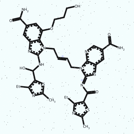 CCc1nc(C)sc1C(=O)/N=c1\sc2cc(C(N)=O)cnc2n1C/C=C/Cn1c(NC(O)c2sc(C)nc2CC)nc2cc(C(N)=O)cc(OCCCO)c21